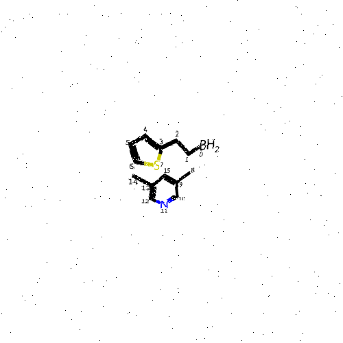 BCCc1cccs1.Cc1cncc(C)c1